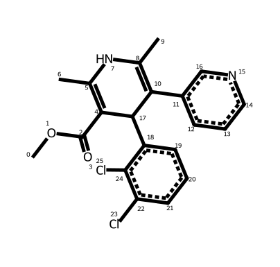 COC(=O)C1=C(C)NC(C)=C(c2cccnc2)C1c1cccc(Cl)c1Cl